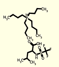 CC(C)CC(NS(=O)(=O)C(F)(F)F)C(=O)O.CCCC[PH](CCCC)(CCCC)CCCC